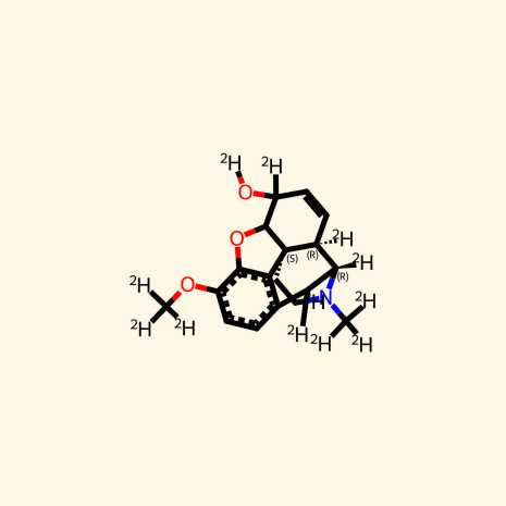 [2H]OC1([2H])C=C[C@]2([2H])[C@@]34CCN(C([2H])([2H])[2H])[C@]2([2H])C([2H])([2H])c2ccc(OC([2H])([2H])[2H])c(c23)OC14